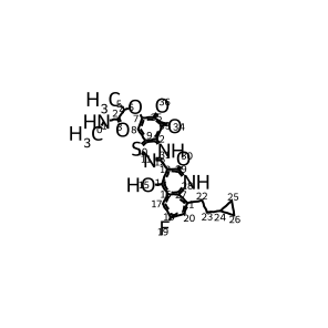 CNC(=O)[C@@H](C)Oc1cc2snc(-c3c(O)c4cc(F)cc(CCC5CC5)c4[nH]c3=O)[nH]c=2c(=O)c1=O